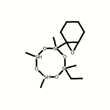 CC[Si]1(C)O[SiH](C)O[SiH](C)O[Si](C)(C23CCCCC2O3)O1